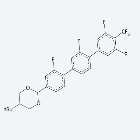 CCCCC1COC(c2ccc(-c3ccc(-c4cc(F)c(C(F)(F)F)c(F)c4)c(F)c3)c(F)c2)OC1